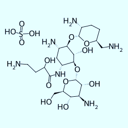 NCCC(O)C(=O)N[C@@H]1C[C@H](N)[C@@H](O[C@H]2O[C@H](CN)CC[C@H]2N)[C@H](O)[C@H]1O[C@H]1O[C@H](CO)[C@@H](O)[C@H](N)[C@H]1O.O=S(=O)(O)O